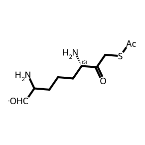 CC(=O)SCC(=O)[C@@H](N)CCCC(N)[C]=O